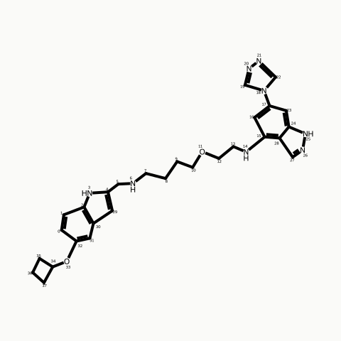 c1cc2[nH]c(CNCCCCOCCNc3cc(-n4cnnc4)cc4[nH]ncc34)cc2cc1OC1CCC1